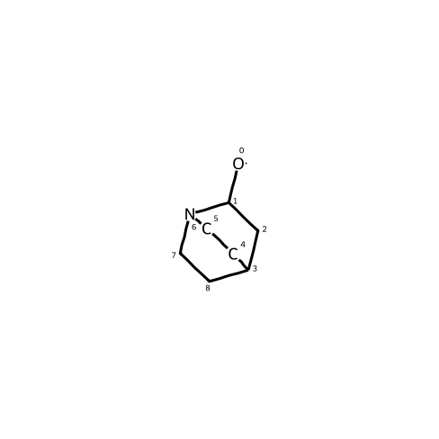 [O]C1CC2CCN1CC2